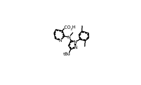 Cc1ccc(C)c(-n2nc(C(C)(C)C)cc2N(C)c2ncccc2C(=O)O)c1